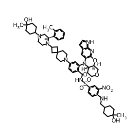 Cc1ccccc1[C@@H]1CN(C2CCC(C)(O)CC2)CCN1C1CC2(CCN(c3ccc(C(=O)NS(=O)(=O)c4ccc(NCC5CCC(C)(O)CC5)c([N+](=O)[O-])c4)c(N4c5cc6cc[nH]c6nc5O[C@H]5COCC[C@@H]54)c3)CC2)C1